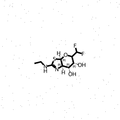 CCNC1=N[C@@H]2[C@@H](O)[C@@H](O)C(C(F)F)O[C@@H]2S1